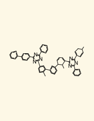 Cc1ccc(-c2nc(-c3ccccc3)nc(-c3ccc(-c4ccccc4)cc3)n2)cc1-c1cccc(C2C=CC=C(c3nc(C4=CCC(C)C=C4)nc(-c4ccccc4)n3)C2C)c1